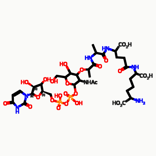 CC(=O)NC1C(OP(=O)(O)OP(=O)(O)OC[C@H]2O[C@@H](n3ccc(=O)[nH]c3=O)[C@@H](O)C2O)OC(CO)C(O)C1OC(C)C(=O)NC(C)C(=O)NC(CCC(=O)NC(CCCC(N)C(=O)O)C(=O)O)C(=O)O